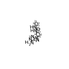 Nc1ncnc2c1cnn2-c1cccc(NC(=O)NC2CCCC2)c1